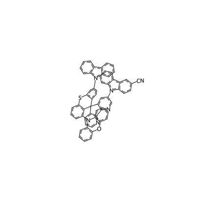 N#Cc1ccc2c(c1)c1ccccc1n2-c1cnc2c(c1)C1(c3ccc(-n4c5ccccc5c5ccccc54)cc3Sc3cccc(N4c5ccccc5Oc5ccccc54)c31)c1cccnc1-2